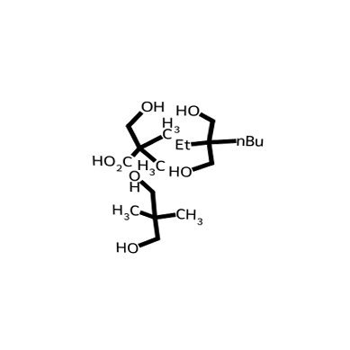 CC(C)(CO)C(=O)O.CC(C)(CO)CO.CCCCC(CC)(CO)CO